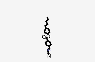 CCCCCC1CCC(OC(=O)C2CCC(/C=C/C#N)CC2)CC1